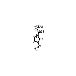 CC(C)(C)OC(=O)N1CCC(C[O])C1